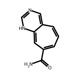 NC(=O)C1=CC=CC2=CN=CNC2=C1